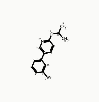 CC(C)c1cccc(-c2ccc(OC(C)C(F)(F)F)nc2)c1